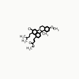 COC(=O)C=Cc1ccc(C2(C)c3ccc(OC)cc3CCN2c2ccc(CCC(C)C)c(Cl)c2)cc1